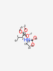 CCC[Si](OC)(OC)OC.O=C1NCCO1